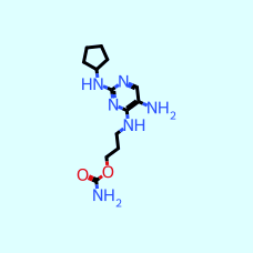 NC(=O)OCCCNc1nc(NC2CCCC2)ncc1N